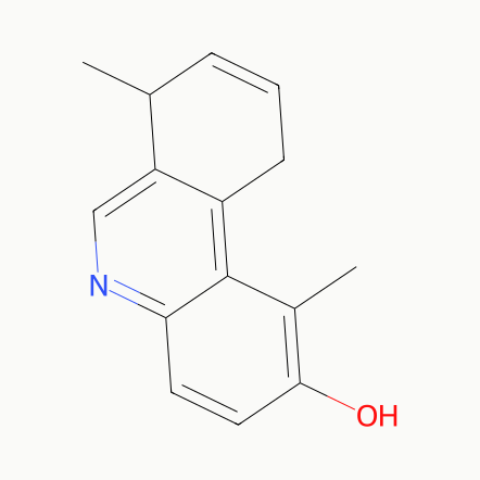 Cc1c(O)ccc2ncc3c(c12)CC=CC3C